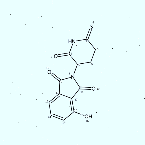 O=C1NC(=S)CCC1N1C(=O)c2cccc(O)c2C1=O